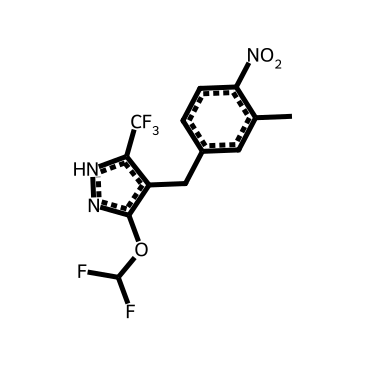 Cc1cc(Cc2c(OC(F)F)n[nH]c2C(F)(F)F)ccc1[N+](=O)[O-]